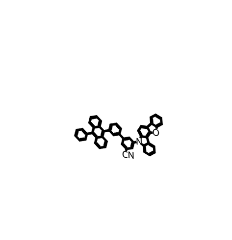 N#Cc1cc(-c2cccc(-c3c4ccccc4c(-c4ccccc4)c4ccccc34)c2)cc(-n2c3ccccc3c3c4oc5ccccc5c4ccc32)c1